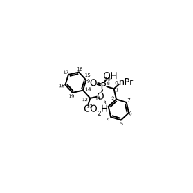 CCCC(c1ccccc1)P(=O)(O)OC(C(=O)O)c1ccccc1